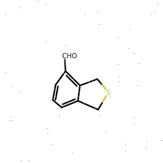 O=Cc1cccc2c1CSC2